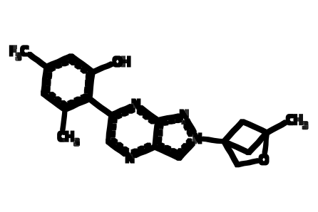 Cc1cc(C(F)(F)F)cc(O)c1-c1cnc2cn(C34COC(C)(C3)C4)nc2n1